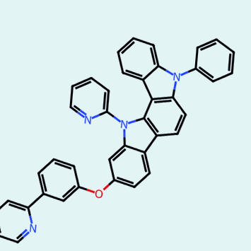 c1ccc(-n2c3ccccc3c3c2ccc2c4ccc(Oc5cccc(-c6ccccn6)c5)cc4n(-c4ccccn4)c23)cc1